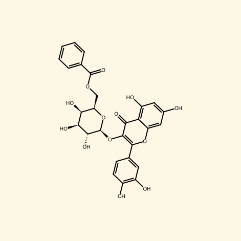 O=C(OC[C@H]1O[C@@H](Oc2c(-c3ccc(O)c(O)c3)oc3cc(O)cc(O)c3c2=O)[C@H](O)[C@@H](O)[C@H]1O)c1ccccc1